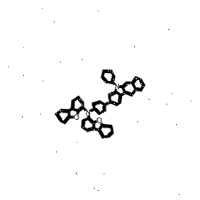 c1ccc(-n2c3cc(-c4ccc(N(c5cccc6c5oc5ccccc56)c5cccc6c5oc5ccccc56)cc4)ccc3c3cc4ccccc4cc32)cc1